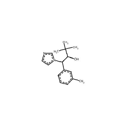 Cc1cccc(C(C(O)C(C)(C)C)n2ccnc2)c1